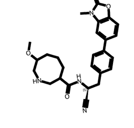 COC1CCCC(C(=O)N[C@H](C#N)Cc2ccc(-c3ccc4oc(=O)n(C)c4c3)cc2)CNC1